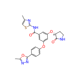 Cc1csc(NC(=O)c2cc(Oc3ccc(-c4nnc(C)o4)cc3)cc(O[C@@H]3CCNC3=O)c2)n1